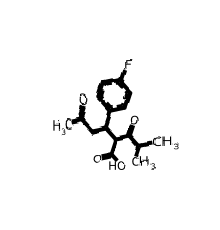 CC(=O)CC(c1ccc(F)cc1)C(C(=O)O)C(=O)C(C)C